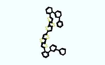 C1=CCC(C2=CC(c3ccccc3)CC=C2)C(c2cc3sc4cc(-c5cc6sc7cc(-c8ccccc8C8C=C(C9=CCCC=C9)C=CC8)sc7c6s5)sc4c3s2)=C1